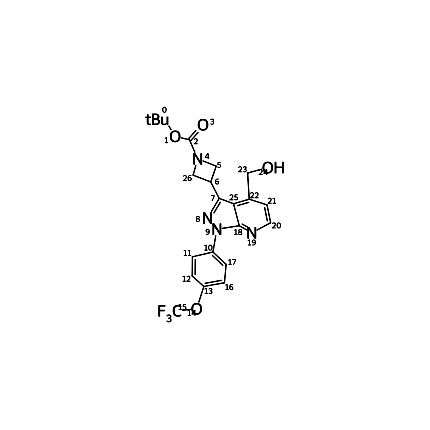 CC(C)(C)OC(=O)N1CC(c2nn(-c3ccc(OC(F)(F)F)cc3)c3nccc(CO)c23)C1